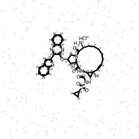 Cl.N[C@H]1CCCCC/C=C\[C@@H]2C[C@@]2(C(=O)NS(=O)(=O)C2CC2)NC(=O)[C@@H]2C[C@@H](Oc3nc4ccccc4nc3-c3cc4ccccc4s3)CN2C1=O